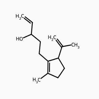 C=CC(O)CCC1=C(C)CCC1C(=C)C